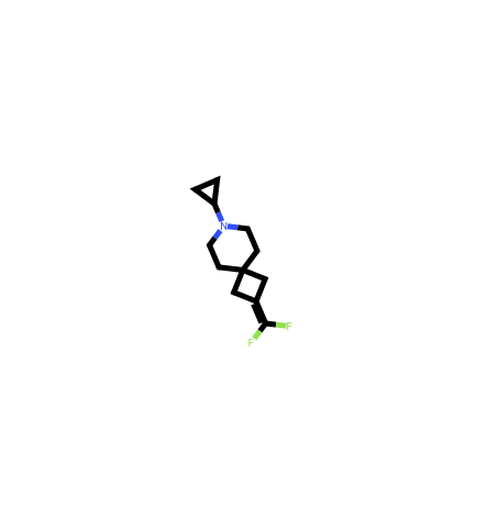 FC(F)=C1CC2(CCN(C3CC3)CC2)C1